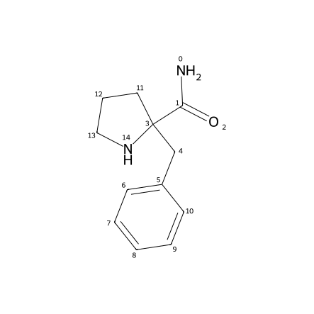 NC(=O)C1(Cc2ccccc2)CCCN1